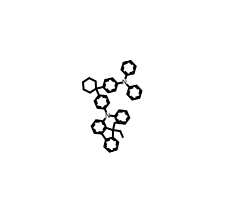 CCC1(CC)c2ccccc2-c2cccc(N(c3ccccc3)c3ccc(C4(c5ccc(N(c6ccccc6)c6ccccc6)cc5)CCCCC4)cc3)c21